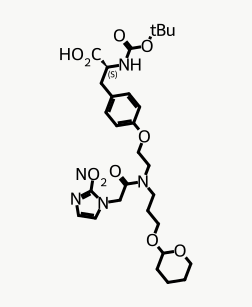 CC(C)(C)OC(=O)N[C@@H](Cc1ccc(OCCN(CCCOC2CCCCO2)C(=O)Cn2ccnc2[N+](=O)[O-])cc1)C(=O)O